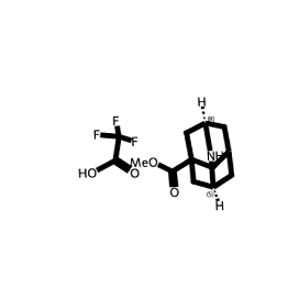 COC(=O)C12CC3C[C@H](C1)N[C@@H](C3)C2.O=C(O)C(F)(F)F